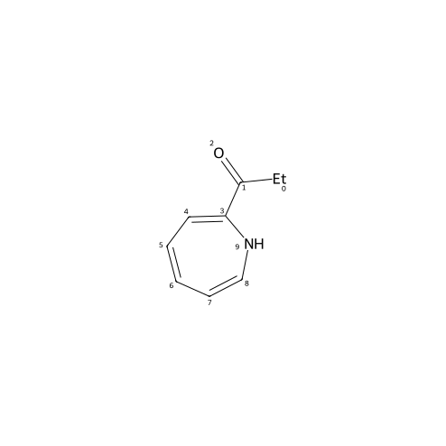 [CH2]CC(=O)C1=CC=CC=CN1